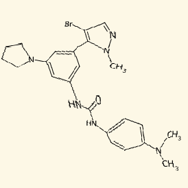 CN(C)c1ccc(NC(=O)Nc2cc(-c3c(Br)cnn3C)cc(N3CCCC3)c2)cc1